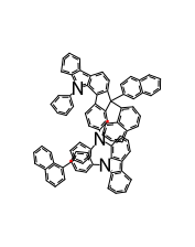 c1ccc(-n2c3ccccc3c3cccc(N(c4ccc(-c5cccc6ccccc56)cc4)c4ccc5c(c4)C(c4ccc6ccccc6c4)(c4cccc6ccccc46)c4ccc6c7ccccc7n(-c7ccccc7)c6c4-5)c32)cc1